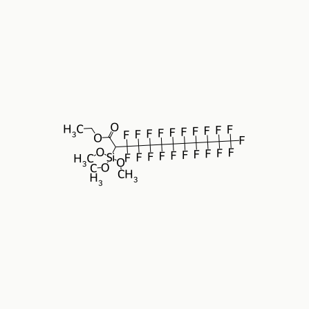 CCOC(=O)C(C(F)(F)C(F)(F)C(F)(F)C(F)(F)C(F)(F)C(F)(F)C(F)(F)C(F)(F)C(F)(F)C(F)(F)F)[Si](OC)(OC)OC